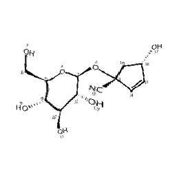 N#C[C@]1(O[C@@H]2O[C@H](CO)[C@@H](O)[C@H](O)[C@H]2O)C=C[C@@H](O)C1